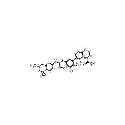 Cc1c(-c2cc3cc(Nc4ccc5c(c4)CN(C)CC54CC4)ncc3c(Cl)c2F)cnc2c1N(C(=O)O)CCO2